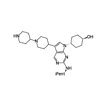 CCC[C@H](C)Nc1ncc2c(C3CCN(C4CCNCC4)CC3)cn([C@H]3CC[C@H](O)CC3)c2n1